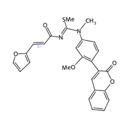 COc1cc(N(C)C(=NC(=O)/C=C/c2ccco2)SC)ccc1-c1cc2ccccc2oc1=O